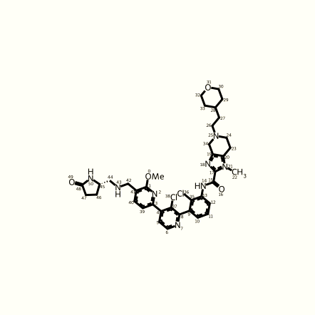 COc1nc(-c2ccnc(-c3cccc(NC(=O)c4nc5c(n4C)CCN(CCC4CCOCC4)C5)c3Cl)c2Cl)ccc1CNC[C@@H]1CCC(=O)N1